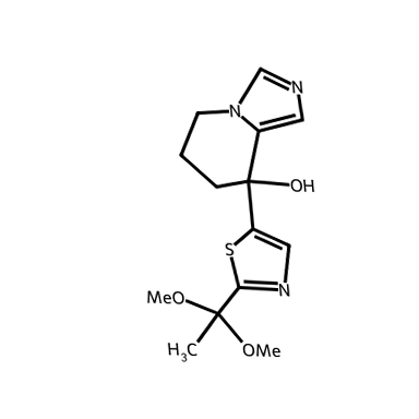 COC(C)(OC)c1ncc(C2(O)CCCn3cncc32)s1